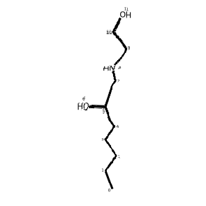 CCCCCC(O)CNCCO